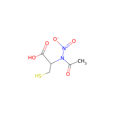 CC(=O)N(C(CS)C(=O)O)[N+](=O)[O-]